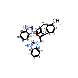 Cc1ccc2cc1Cc1ccc(C[n+]3c[nH]c4ccccc43)c-2c1C[n+]1c[nH]c2ccccc21